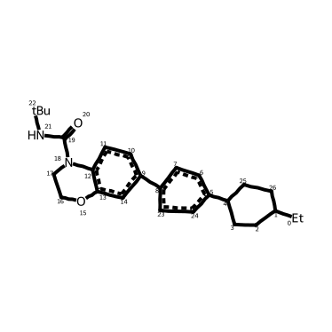 CCC1CCC(c2ccc(-c3ccc4c(c3)OCCN4C(=O)NC(C)(C)C)cc2)CC1